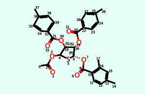 CC(=O)OC1S[C@@H](OC(=O)c2ccc(C)cc2C)[C@@H](OC(=O)c2ccc(C)cc2)[C@@H]1OC(=O)c1ccc(C)cc1